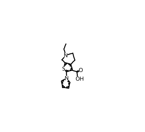 CCN1CCc2c(sc(-n3cccc3)c2C(=O)O)C1